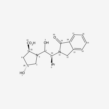 CC(C)[C@@H](C(O)N1C[C@H](O)C[C@H]1C(=O)O)N1Cc2ccccc2C1=O